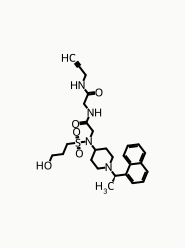 C#CCNC(=O)CNC(=O)CN(C1CCN([C@H](C)c2cccc3ccccc23)CC1)S(=O)(=O)CCCO